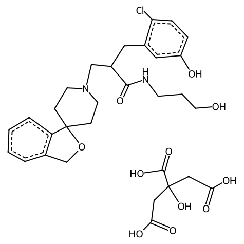 O=C(NCCCO)C(Cc1cc(O)ccc1Cl)CN1CCC2(CC1)OCc1ccccc12.O=C(O)CC(O)(CC(=O)O)C(=O)O